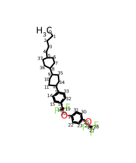 CCCCCC1CCC(C2CCC(c3ccc(C(F)(F)Oc4ccc(OC(F)(F)F)cc4)cc3)CC2)CC1